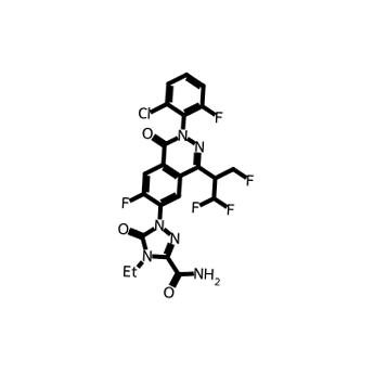 CCn1c(C(N)=O)nn(-c2cc3c(C(CF)C(F)F)nn(-c4c(F)cccc4Cl)c(=O)c3cc2F)c1=O